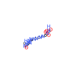 CN(C)C(=O)c1cc2cnc(Nc3ccc(N4CCN(C5CCN(C6CN(c7ccc8c(c7)C(=O)N(C7CCC(=O)NC7=O)C8=O)C6)CC5)CC4)cn3)nc2n1C1CCCC1